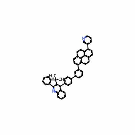 CC1(C)c2ccccc2-c2nc3ccccc3c(-c3ccc(-c4cccc(-c5ccc6ccc7c(-c8cccnc8)ccc8ccc5c6c87)c4)cc3)c21